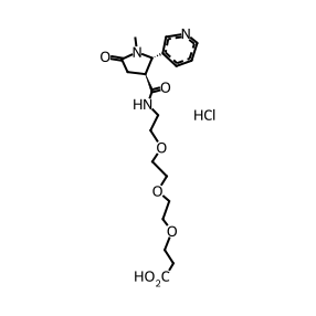 CN1C(=O)C[C@H](C(=O)NCCOCCOCCOCCC(=O)O)[C@H]1c1cccnc1.Cl